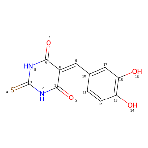 O=C1NC(=S)NC(=O)C1=Cc1ccc(O)c(O)c1